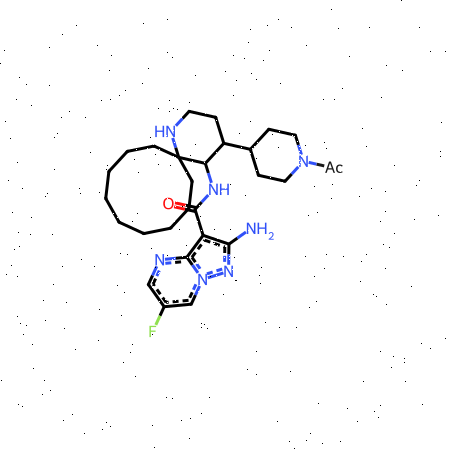 CC(=O)N1CCC(C2CCNC3(CCCCCCCCC3)C2NC(=O)c2c(N)nn3cc(F)cnc23)CC1